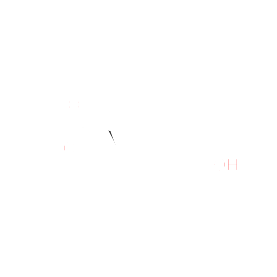 C=C(C)[C@@H](CC(=O)OCC)c1ccc(O)cc1